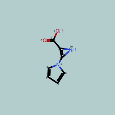 O=C(O)C1=C(n2cccc2)N1